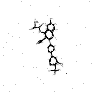 CC(Nc1c(C#N)c(-c2ccc(-c3ccc(C(F)(F)F)c(Cl)c3)cc2)nc2ccc(F)cc12)C(=O)O